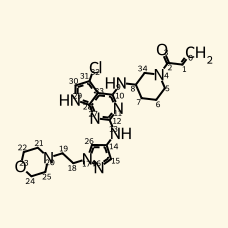 C=CC(=O)N1CCCC(Nc2nc(Nc3cnn(CCN4CCOCC4)c3)nc3[nH]cc(Cl)c23)C1